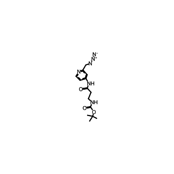 CC(C)(C)OC(=O)NCCC(=O)Nc1ccnc(CN=[N+]=[N-])c1